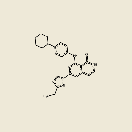 CCc1nc(-c2cc3cc[nH]c(=O)c3c(Nc3ccc(N4CCCCC4)cc3)n2)cs1